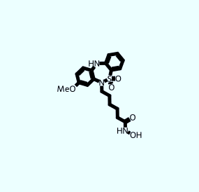 COc1ccc2c(c1)N(CCCCCC(=O)NO)S(=O)(=O)c1ccccc1N2